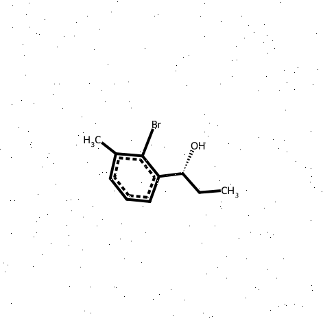 CC[C@@H](O)c1cccc(C)c1Br